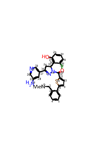 CNCc1ccccc1-c1ccc(C(=O)N2N=C(c3cncc(N)c3)CC2c2c(O)cccc2F)s1